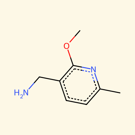 COc1nc(C)ccc1CN